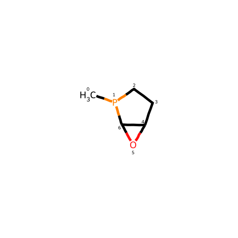 CP1CCC2OC21